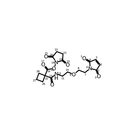 O=C1C=CC(=O)N1CCOCCNC(=O)C1(C(=O)ON2C(=O)CCC2=O)CCC1